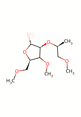 B[C@@H]1O[C@H](COC)C(OC)[C@@H]1O[C@@H](C)COC